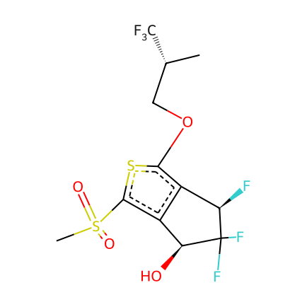 C[C@H](COc1sc(S(C)(=O)=O)c2c1[C@@H](F)C(F)(F)[C@H]2O)C(F)(F)F